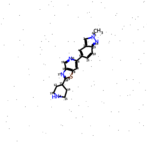 Cn1cc2cc(-c3cc4sc(C5CCNCC5)nc4cn3)ccc2n1